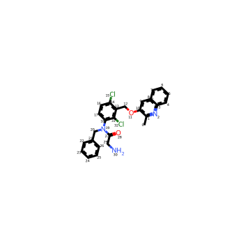 Cc1nc2ccccc2cc1OCc1c(Cl)ccc(N(Cc2ccccc2)C(=O)CN)c1Cl